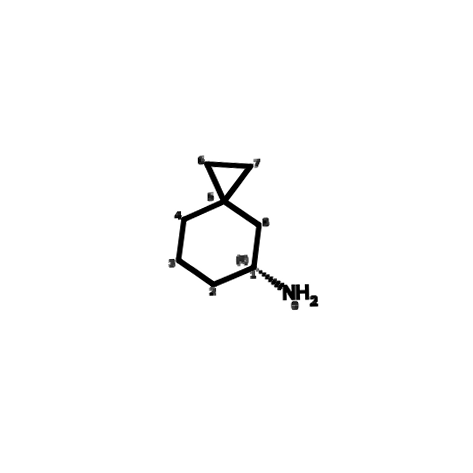 N[C@@H]1CCCC2(CC2)C1